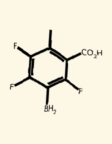 Bc1c(F)c(F)c(C)c(C(=O)O)c1F